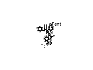 CCCCCN1CCc2nc(-n3c(C)cc4c(C(N)=O)cccc43)nc(NCc3ccccc3)c2C1